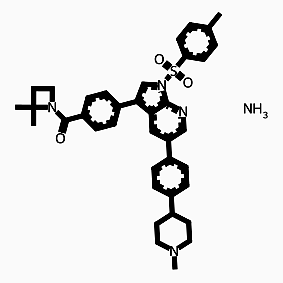 Cc1ccc(S(=O)(=O)n2cc(-c3ccc(C(=O)N4CCC4(C)C)cc3)c3cc(-c4ccc(C5CCN(C)CC5)cc4)cnc32)cc1.N